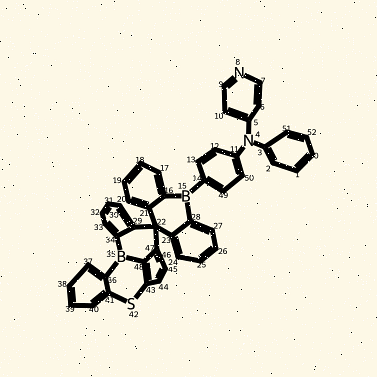 c1ccc(N(c2ccncc2)c2ccc(B3c4ccccc4C4(c5ccccc53)c3ccccc3B3c5ccccc5Sc5cccc4c53)cc2)cc1